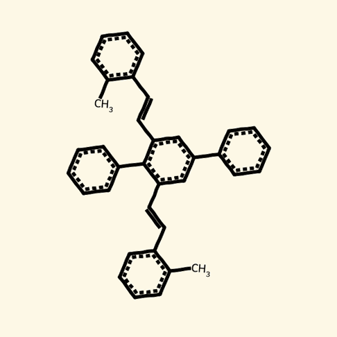 Cc1ccccc1C=Cc1cc(-c2ccccc2)cc(C=Cc2ccccc2C)c1-c1ccccc1